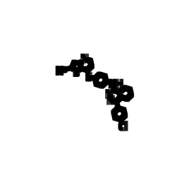 N#Cc1cc2nccc(Sc3ccc(Nc4nnc(-c5ccc(Cl)cc5)c5ccccc45)cc3)c2s1